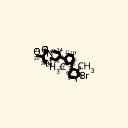 Cc1c(Br)cccc1-c1cccc(-c2ccn3c(=O)c(C=O)cnc3c2)c1C